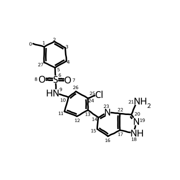 Cc1cccc(S(=O)(=O)Nc2ccc(-c3ccc4[nH]nc(N)c4n3)c(Cl)c2)c1